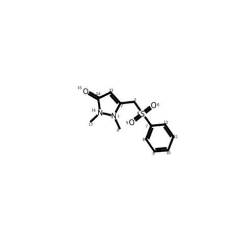 Cn1c(CS(=O)(=O)c2ccccc2)cc(=O)n1C